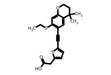 CCSc1cc2c(cc1C#Cc1ccc(CC(=O)O)s1)C(C)(C)CCO2